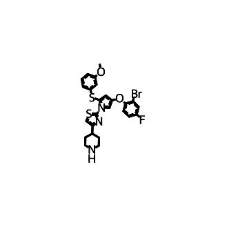 COc1cccc(Sc2cc(Oc3ccc(F)cc3Br)cn2-c2nc(C3CCNCC3)cs2)c1